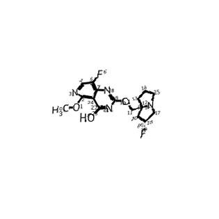 COc1ncc(F)c2nc(OC[C@@]34CCCN3C[C@H](F)C4)nc(O)c12